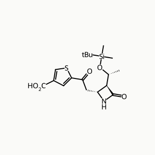 C[C@@H](O[Si](C)(C)C(C)(C)C)[C@H]1C(=O)N[C@@H]1CC(=O)c1cc(C(=O)O)cs1